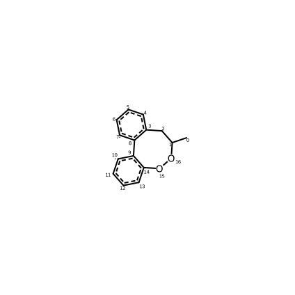 CC1Cc2ccc[c]c2-c2[c]cccc2OO1